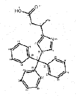 CC(CC(=O)O)c1cn(C(c2ccccc2)(c2ccccc2)c2ccccc2)cn1